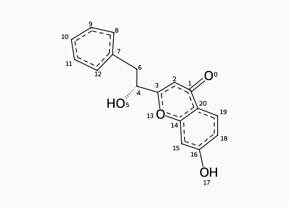 O=c1cc([C@H](O)Cc2ccccc2)oc2cc(O)ccc12